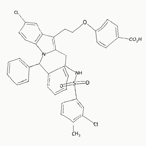 Cc1ccc(S(=O)(=O)NCCc2c(CCOc3ccc(C(=O)O)cc3)c3cc(Cl)ccc3n2C(c2ccccc2)c2ccccc2)cc1Cl